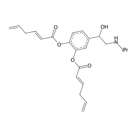 C=CCC=CC(=O)Oc1ccc(C(O)CNC(C)C)cc1OC(=O)C=CCC=C